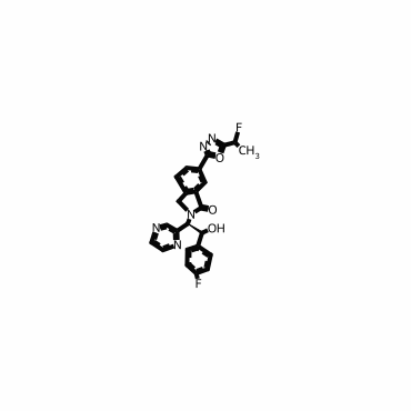 CC(F)c1nnc(-c2ccc3c(c2)C(=O)N([C@H](c2cnccn2)C(O)c2ccc(F)cc2)C3)o1